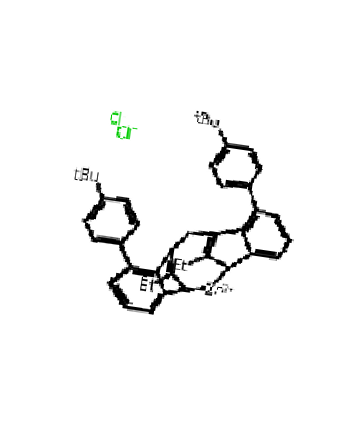 CCC1=C2CC3=C(CC)[CH]([Zr+2][CH]1c1cccc(-c4ccc(C(C)(C)C)cc4)c12)c1cccc(-c2ccc(C(C)(C)C)cc2)c13.[Cl-].[Cl-]